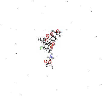 COC(=O)c1c([AsH]S(=O)(=O)c2ccc(F)cc2C=CCN2CC(OC(C)=O)C2)ccc2c1OCc1occc1-2